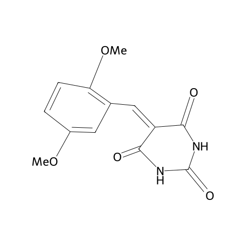 COc1ccc(OC)c(C=C2C(=O)NC(=O)NC2=O)c1